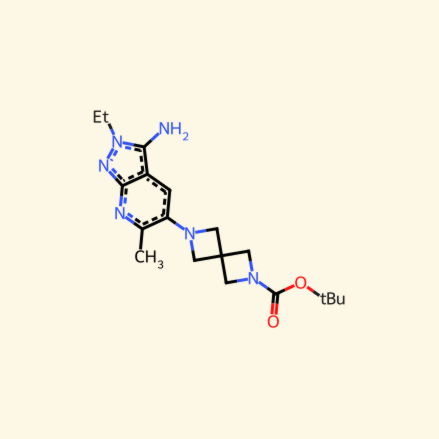 CCn1nc2nc(C)c(N3CC4(CN(C(=O)OC(C)(C)C)C4)C3)cc2c1N